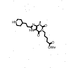 COC(=O)CCCCn1c(=O)c2[nH]c(CCC3CCNCC3)nc2n(C)c1=O